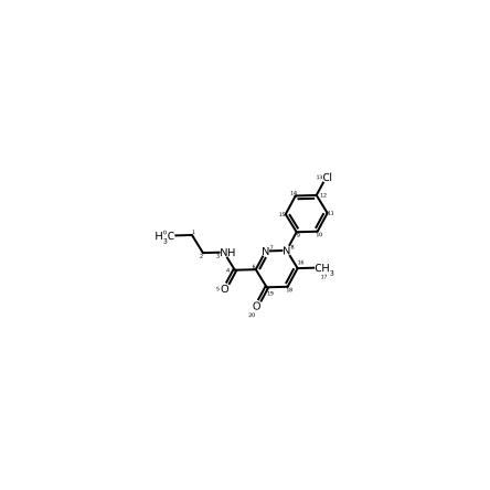 CCCNC(=O)c1nn(-c2ccc(Cl)cc2)c(C)cc1=O